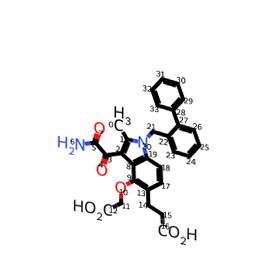 Cc1c(C(=O)C(N)=O)c2c(OCC(=O)O)c(CCC(=O)O)ccc2n1Cc1ccccc1-c1ccccc1